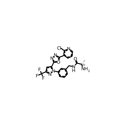 C[C@H](N)C(=O)NCc1cccc(-n2nc(C(F)(F)F)cc2-c2nnc(-c3cccnc3Cl)o2)c1